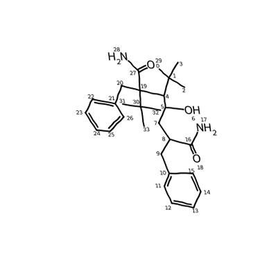 CC(C)(C)C(C(O)CC(Cc1ccccc1)C(N)=O)C(Cc1ccccc1)(C(N)=O)C(C)(C)C